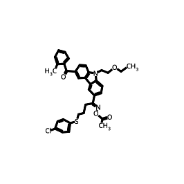 CCOCCn1c2ccc(C(=O)c3ccccc3C)cc2c2cc(C(CCCSc3ccc(Cl)cc3)=NOC(C)=O)ccc21